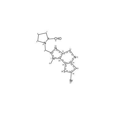 Cn1c(CN2CCCC2C=O)nc2cnc3cc(Br)sc3c21